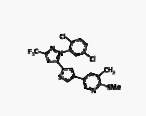 CSc1ncc(-c2csc(-c3cc(C(F)(F)F)nn3-c3cc(Cl)ccc3Cl)c2)cc1C